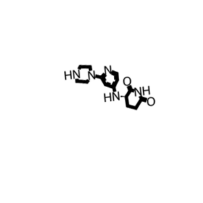 O=C1CC[C@H](Nc2ccnc(N3CCNCC3)c2)C(=O)N1